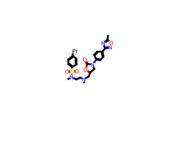 Cc1nc(-c2ccc(N3CC(CN(C)CCN(C)S(=O)(=O)c4ccc(C(C)C)cc4)OC3=O)cc2)no1